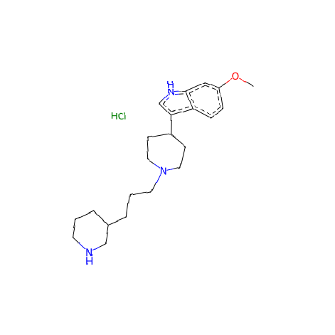 COc1ccc2c(C3CCN(CCCC4CCCNC4)CC3)c[nH]c2c1.Cl